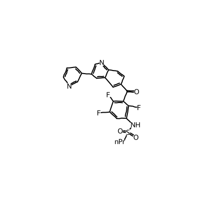 CCCS(=O)(=O)Nc1cc(F)c(F)c(C(=O)c2ccc3ncc(-c4cccnc4)cc3c2)c1F